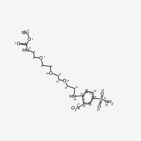 CC(C)(C)OC(=O)NCCOCCOCCOCCNc1ccc(S(N)(=O)=O)cc1[N+](=O)[O-]